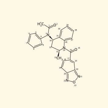 CC(=O)N(c1ccccc1)[C@@H]1C[C@H](C)N(C(=O)c2ccc3nonc3c2)c2ccccc21